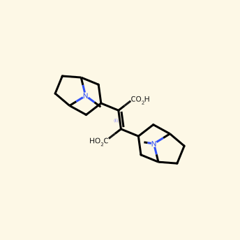 CN1C2CCC1CC(/C(C(=O)O)=C(\C(=O)O)C1CC3CCC(C1)N3C)C2